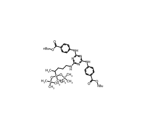 CCCCOC(=O)c1ccc(Nc2nc(NCCCC(C)[Si](C)(O[Si](C)(C)C)O[Si](C)(C)C)nc(Nc3ccc(C(=O)OCCCC)cc3)n2)cc1